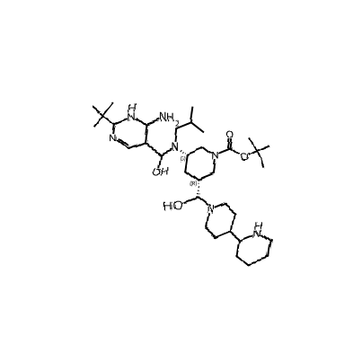 CC(C)CN(C(O)C1C=NC(C(C)(C)C)NC1N)[C@H]1C[C@@H](C(O)N2CCC(C3CCCCN3)CC2)CN(C(=O)OC(C)(C)C)C1